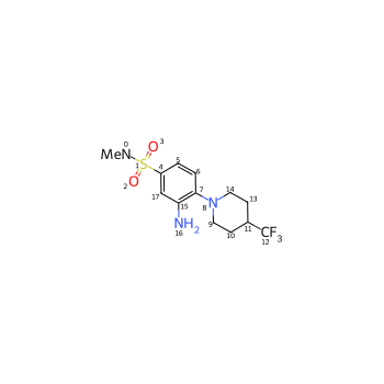 CNS(=O)(=O)c1ccc(N2CCC(C(F)(F)F)CC2)c(N)c1